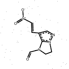 O=CN1CCn2ncc(/C=C/[N+](=O)[O-])c21